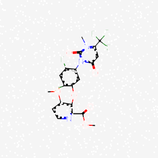 COC(=O)c1nccc(OC)c1Oc1cc(-n2c(=O)cc(C(F)(F)F)n(C)c2=O)c(F)cc1Cl